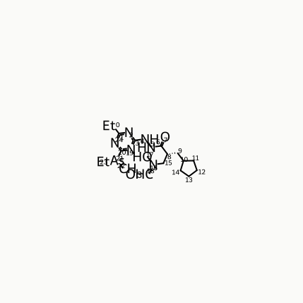 CCc1nc(NNC(=O)[C@H](CC2CCCC2)CN(O)C=O)nc([As](C)CC)n1